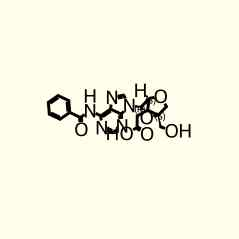 O=C(O)CC1[C@@H]2OC[C@]1(CO)O[C@H]2n1cnc2c(NC(=O)c3ccccc3)ncnc21